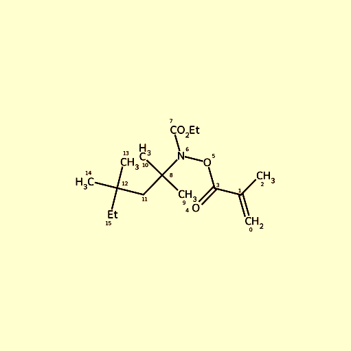 C=C(C)C(=O)ON(C(=O)OCC)C(C)(C)CC(C)(C)CC